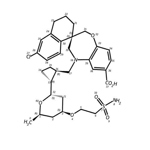 C[C@@H]1C[C@H](OCCS(N)(=O)=O)C[C@@H]([C@@H]2CC[C@H]2CN2C[C@@]3(CCCc4cc(Cl)ccc43)COc3ccc(C(=O)O)cc32)O1